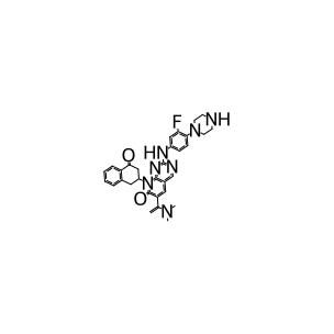 C=C(c1cc2cnc(Nc3ccc(N4CCNCC4)c(F)c3)nc2n(C2CC(=O)c3ccccc3C2)c1=O)N(C)C